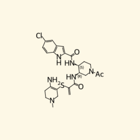 C=C(SC1=C(N)CCN(C)C1)C(=O)N[C@@H]1CN(C(C)=O)CC[C@@H]1NC(=O)c1cc2cc(Cl)ccc2[nH]1